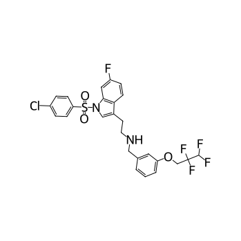 O=S(=O)(c1ccc(Cl)cc1)n1cc(CCNCc2cccc(OCC(F)(F)C(F)F)c2)c2ccc(F)cc21